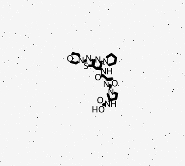 O=C(O)N[C@H]1CCN(c2nc(C(=O)Nc3cc4sc(N5CCOCC5)nc4nc3N3CCCCC3)co2)C1